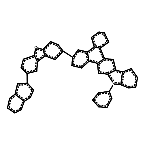 c1ccc(-n2c3ccccc3c3cc4c5ccccc5c5cc(-c6ccc7oc8ccc(-c9ccc%10ccccc%10c9)cc8c7c6)ccc5c4cc32)cc1